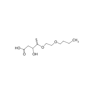 CCCCOCCOC(=S)C(O)CC(=O)O